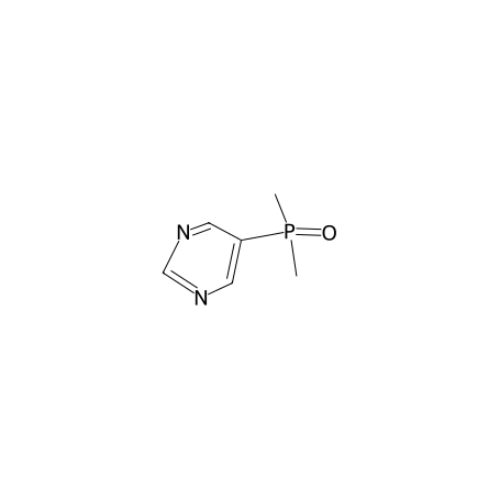 CP(C)(=O)c1cncnc1